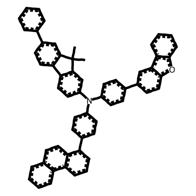 CC1(C)c2cc(-c3ccccc3)ccc2-c2ccc(N(c3ccc(-c4ccc5oc6ccccc6c5c4)cc3)c3ccc(-c4cccc5c4ccc4ccccc45)cc3)cc21